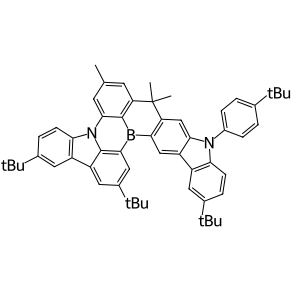 Cc1cc2c3c(c1)C(C)(C)c1cc4c(cc1B3c1cc(C(C)(C)C)cc3c5cc(C(C)(C)C)ccc5n-2c13)c1cc(C(C)(C)C)ccc1n4-c1ccc(C(C)(C)C)cc1